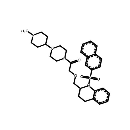 CN1CCC(N2CCN(C(=O)COCC3CCc4ccccc4N3S(=O)(=O)c3ccc4ccccc4c3)CC2)CC1